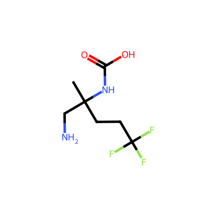 CC(CN)(CCC(F)(F)F)NC(=O)O